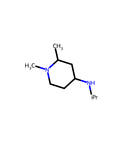 CC(C)NC1CCN(C)C(C)C1